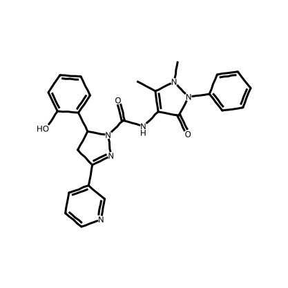 Cc1c(NC(=O)N2N=C(c3cccnc3)CC2c2ccccc2O)c(=O)n(-c2ccccc2)n1C